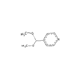 CO[C](OC)c1ccncc1